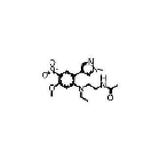 CCN(CCNC(C)=O)c1cc(OC)c([N+](=O)[O-])cc1-c1cnn(C)c1